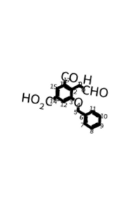 O=CCc1c(OCc2ccccc2)cc(C(=O)O)cc1C(=O)O